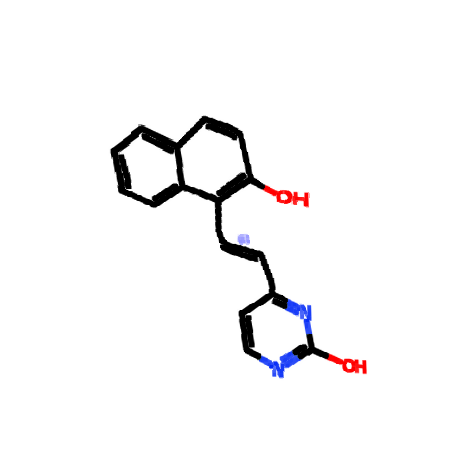 Oc1nccc(/C=C/c2c(O)ccc3ccccc23)n1